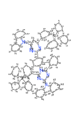 c1ccc([Si](c2ccccc2)(c2ccccc2)c2cccc(-c3cc(-n4c5ccccc5c5ccccc54)nc(-c4cccc(-c5ccccc5-c5nc(-c6cccc([Si](c7ccccc7)(c7ccccc7)c7ccccc7)c6)nc(-n6c7ccccc7c7ccccc76)n5)c4)n3)c2)cc1